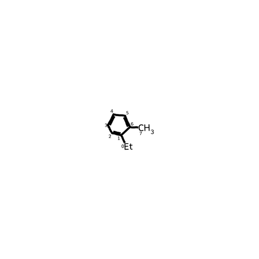 CCc1c[c]ccc1C